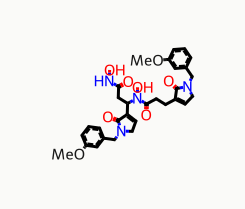 COc1cccc(CN2CC=C(CCC(=O)N(O)C(CC(=O)NO)C3=CCN(Cc4cccc(OC)c4)C3=O)C2=O)c1